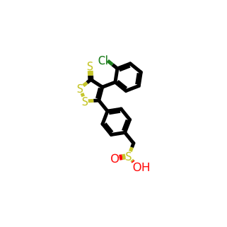 O=S(O)Cc1ccc(-c2ssc(=S)c2-c2ccccc2Cl)cc1